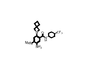 CNc1cc(N2CC3(CCC3)C2)c(C(=O)N[C@H]2CC[C@H](C(F)(F)F)CC2)cc1N